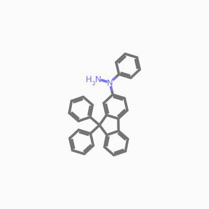 NN(c1ccccc1)c1ccc2c(c1)C(c1ccccc1)(c1ccccc1)c1ccccc1-2